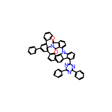 O=C1c2cccc(-n3c4ccccc4c4c(-c5nc(-c6ccccc6)nc(-c6ccccc6)n5)cccc43)c2C(=O)N1c1c(-c2ccccc2)cc(-c2ccccc2)cc1-c1ccccc1